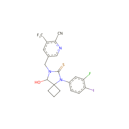 N#Cc1ncc(CN2C(=S)N(c3ccc(I)c(F)c3)C3(CCC3)C2O)cc1C(F)(F)F